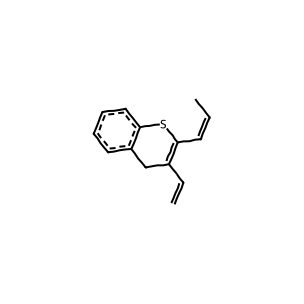 C=CC1=C(/C=C\C)Sc2ccccc2C1